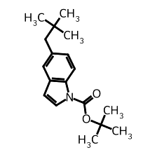 CC(C)(C)Cc1ccc2c(ccn2C(=O)OC(C)(C)C)c1